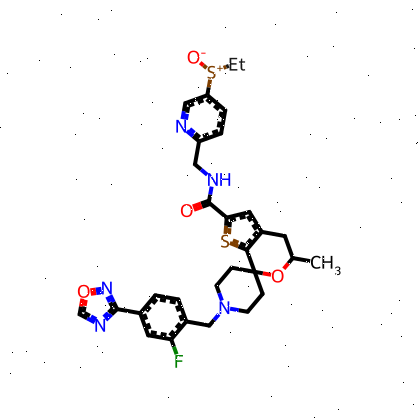 CC[S+]([O-])c1ccc(CNC(=O)c2cc3c(s2)C2(CCN(Cc4ccc(-c5ncon5)cc4F)CC2)OC(C)C3)nc1